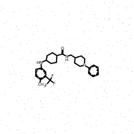 Cc1ccc(NC2CCC(C(=O)NCC3CCN(c4ccccc4)CC3)CC2)cc1C(F)(F)F